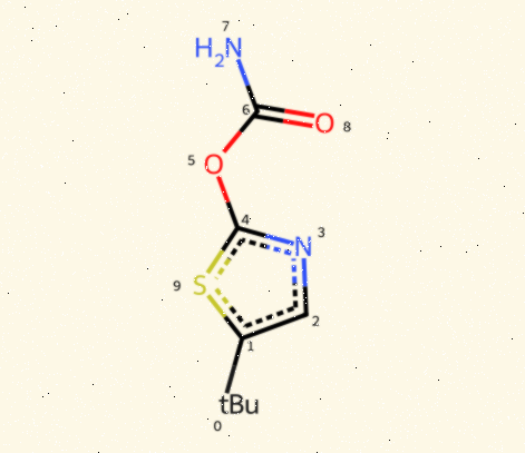 CC(C)(C)c1cnc(OC(N)=O)s1